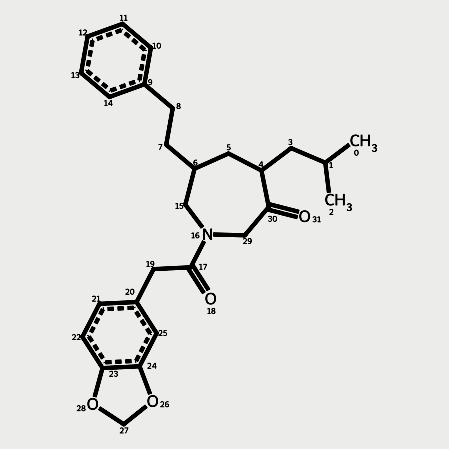 CC(C)CC1CC(CCc2ccccc2)CN(C(=O)Cc2ccc3c(c2)OCO3)CC1=O